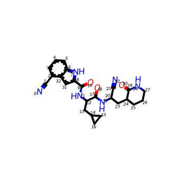 N#Cc1cccc2[nH]c(C(=O)NC(CC3CC3)C(=O)NC(C#N)CC3CCCNC3=O)cc12